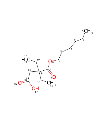 CCCCCCOC(=O)C(CC)(CC)CC(=O)O